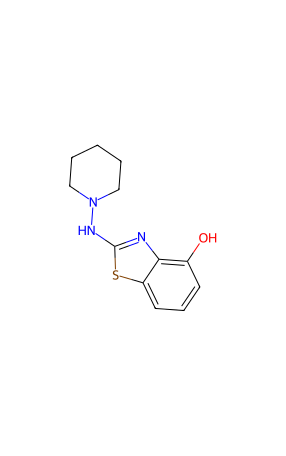 Oc1cccc2sc(NN3CCCCC3)nc12